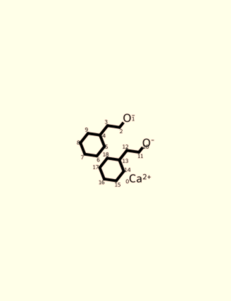 [Ca+2].[O-]CCC1CCCCC1.[O-]CCC1CCCCC1